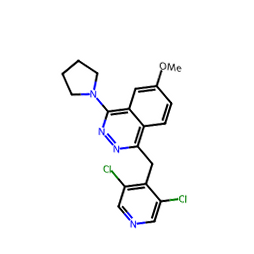 COc1ccc2c(Cc3c(Cl)cncc3Cl)nnc(N3CCCC3)c2c1